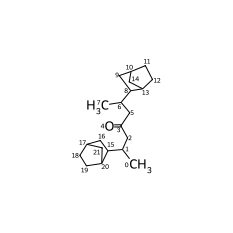 CC(CC(=O)CC(C)C1CC2CCC1C2)C1CC2CCC1C2